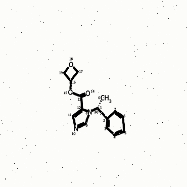 C[C@H](c1ccccc1)n1cncc1C(=O)OC1COC1